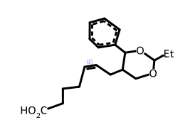 CCC1OCC(C/C=C\CCCC(=O)O)C(c2ccccc2)O1